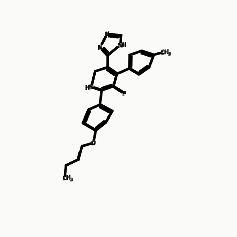 CCCCOc1ccc(C2=C(F)C(c3ccc(C)cc3)=C(c3nnc[nH]3)CN2)cc1